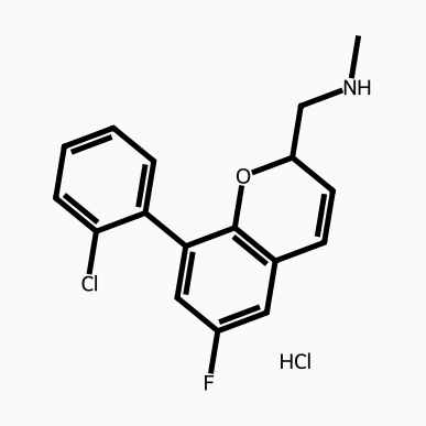 CNCC1C=Cc2cc(F)cc(-c3ccccc3Cl)c2O1.Cl